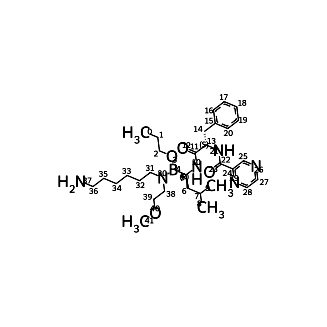 CCCOB([C@H](CC(C)C)NC(=O)[C@H](Cc1ccccc1)NC(=O)c1cnccn1)N(CCCCCCN)CCOC